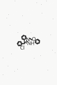 N=c1n(CCOc2ccccc2)c2ccccc2n1Cc1ccccc1Cl